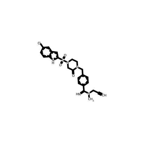 C#CCN(C)C(=N)c1ccc(CN2CCN(S(=O)(=O)c3cc4cc(Cl)ccc4[nH]3)CC2=O)cc1